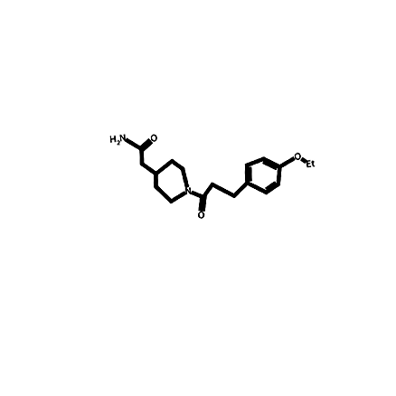 CCOc1ccc(CCC(=O)N2CCC(CC(N)=O)CC2)cc1